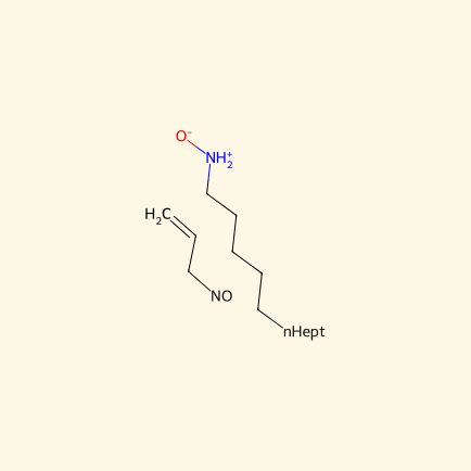 C=CCN=O.CCCCCCCCCCCC[NH2+][O-]